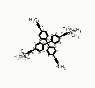 CC#Cc1ccc(C(c2ccc(C#CC)cc2)(c2ccc(C#C[Si](C)(C)C)cc2)c2ccc(C#C[Si](C)(C)C)cc2)cc1